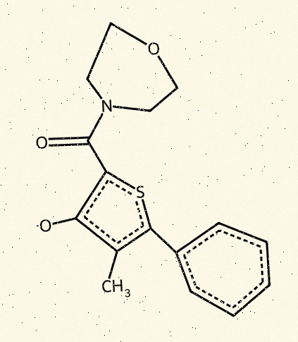 Cc1c(-c2ccccc2)sc(C(=O)N2CCOCC2)c1[O]